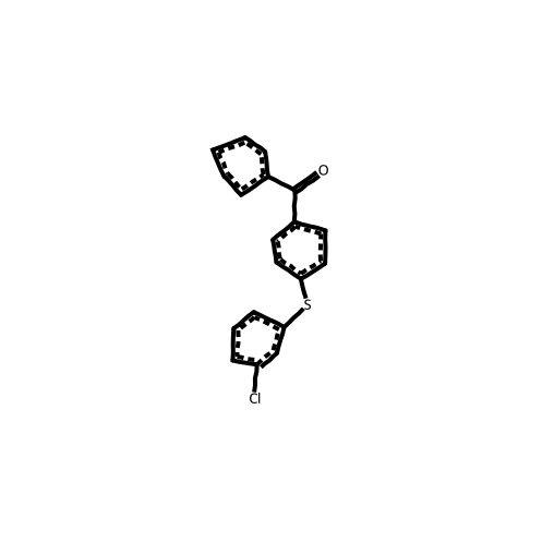 O=C(c1ccccc1)c1ccc(Sc2cccc(Cl)c2)cc1